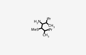 CSC(C(C)C(C)C)C(N)C(C)C(C)C